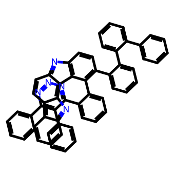 c1ccc(-c2ccccc2-c2ccccc2-c2ccc3c(c2-c2ccccc2-c2nnnc(-c4ccccc4)c2-c2ccccc2)-c2c4c(ccc2=N3)=c2ccccc2=N4)cc1